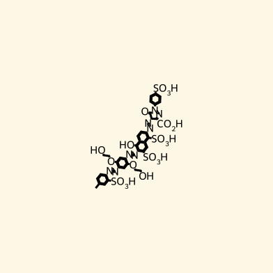 Cc1ccc(/N=N/c2cc(OCCO)c(/N=N/c3c(S(=O)(=O)O)cc4c(S(=O)(=O)O)c(/N=N/C5C(=O)N(c6ccc(S(=O)(=O)O)cc6)N=C5C(=O)O)ccc4c3O)cc2OCCO)c(S(=O)(=O)O)c1